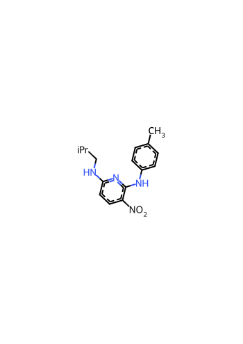 Cc1ccc(Nc2nc(NCC(C)C)ccc2[N+](=O)[O-])cc1